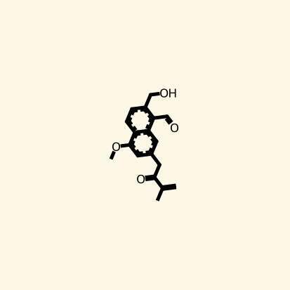 C=C(C)C(=O)Cc1cc(OC)c2ccc(CO)c(C=O)c2c1